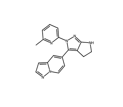 Cc1cccc(-n2nc3c(c2-c2ccn4nccc4c2)CCN3)n1